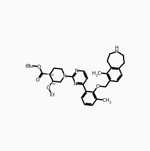 CCO[C@@H]1CN(c2nccc(-c3cccc(C)c3OCc3ccc4c(c3C)CCNCC4)n2)CC[C@@H]1C(=O)OC(C)(C)C